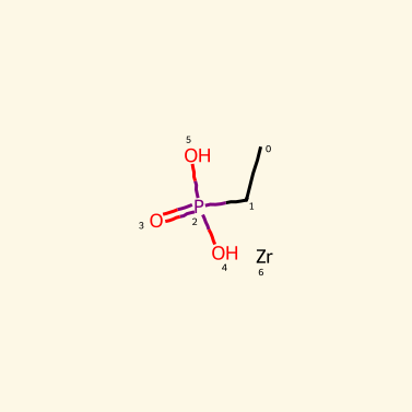 CCP(=O)(O)O.[Zr]